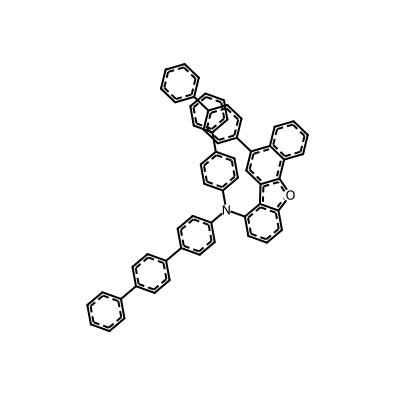 c1ccc(-c2ccc(-c3ccc(N(c4ccc(-c5ccccc5)cc4)c4cccc5oc6c7ccccc7c(-c7ccc(-c8ccccc8)cc7)cc6c45)cc3)cc2)cc1